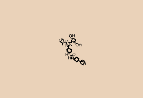 CC1COCCN1c1nc(-c2ccc(NC(=O)Nc3ccc(C45CCN(CC4)CC5)cc3)cc2)nc(N2[C@H](CO)CC[C@@H]2CO)n1